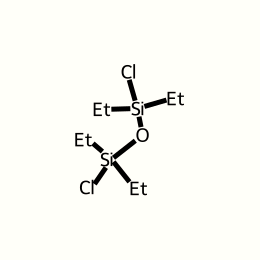 CC[Si](Cl)(CC)O[Si](Cl)(CC)CC